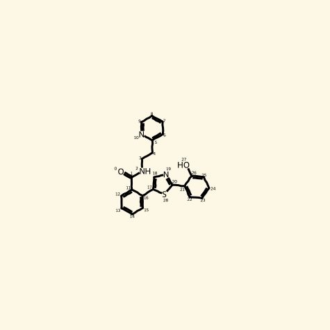 O=C(NCCc1ccccn1)c1ccccc1-c1cnc(-c2ccccc2O)s1